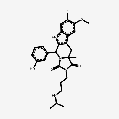 COc1cc2c3c([nH]c2cc1F)C(c1cccc(O)c1)N1C(=O)N(CCCNC(C)C)C(=O)C1(C)C3